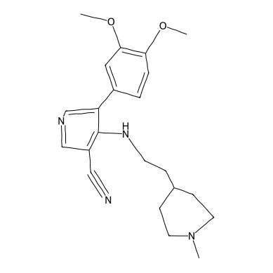 COc1ccc(-c2cncc(C#N)c2NCCC2CCN(C)CC2)cc1OC